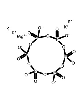 O=P1([O-])OP(=O)([O-])OP(=O)([O-])OP(=O)([O-])OP(=O)([O-])OP(=O)([O-])O1.[K+].[K+].[K+].[K+].[Mg+2]